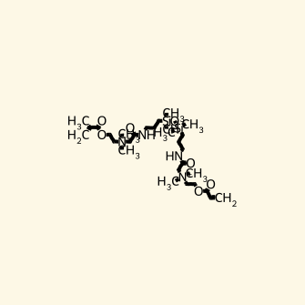 C=CC(=O)OCC[N+](C)(C)CC(=O)NCCC[Si](C)(C)O[Si](C)(C)CCCNC(=O)C[N+](C)(C)CCOC(=O)C(=C)C